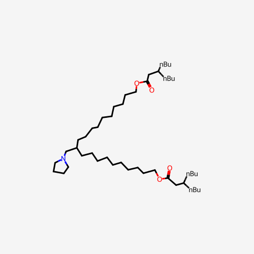 CCCCC(CCCC)CC(=O)OCCCCCCCCCCC(CCCCCCCCCCOC(=O)CC(CCCC)CCCC)CN1CCCC1